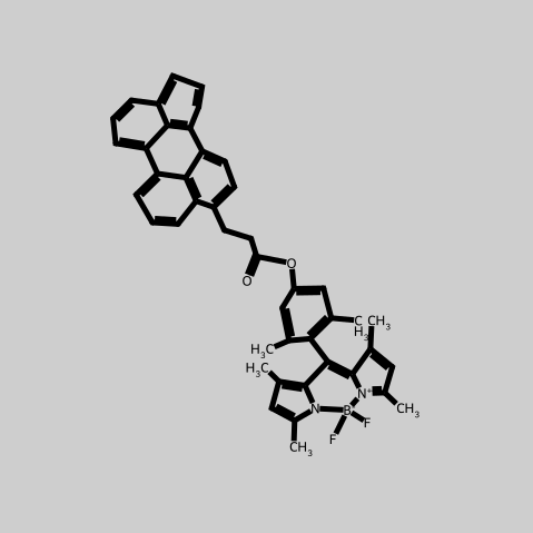 CC1=CC(C)=[N+]2C1=C(c1c(C)cc(OC(=O)CCc3ccc4c5cccc6cccc(c7cccc3c74)c65)cc1C)c1c(C)cc(C)n1[B-]2(F)F